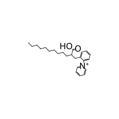 CCCCCCCCCCC(Cc1ccccc1-[n+]1ccccc1)C(=O)O